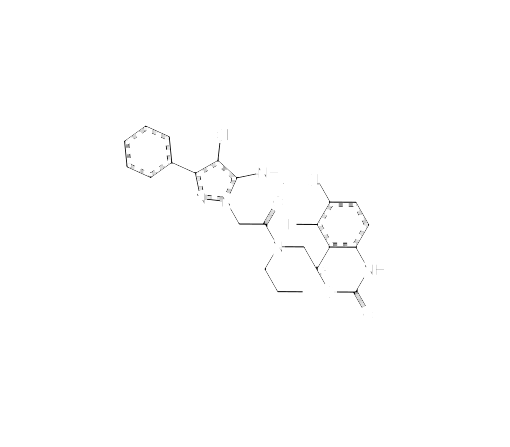 Nc1c(Cl)c(-c2ccccc2)nn1CC(=O)N1CCC[C@@]2(C1)OC(=O)Nc1ccc(Cl)c(F)c12